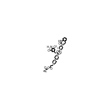 CN(C)C(=O)COC(=O)CCN1CCN(C2CCN(C(=O)[C@@H](Cc3cc(Cl)c(N)c(C(F)(F)F)c3)OC(=O)N3CCC(N4CCc5ccccc5NC4=O)CC3)CC2)CC1